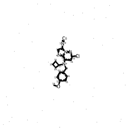 [C-]#[N+]c1cnc2c(N(Cc3ccc(OC)cc3)C3CCC3)cc(Cl)nn12